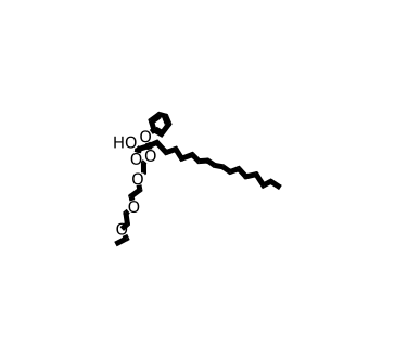 CCCCCCCCCCCCCCCCC(OCCOCCOCCOCC)(Oc1ccccc1)C(=O)O